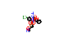 O=S(=O)(Nc1cc(Cl)ccc1NS(=O)(=O)c1ccc(-c2ccno2)s1)c1cc2ccccc2o1